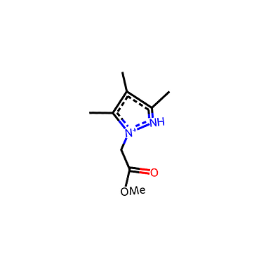 COC(=O)C[n+]1[nH]c(C)c(C)c1C